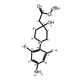 CC(C)(C)OC(=O)CC1(O)CCN(c2c(F)cc(N)cc2F)CC1